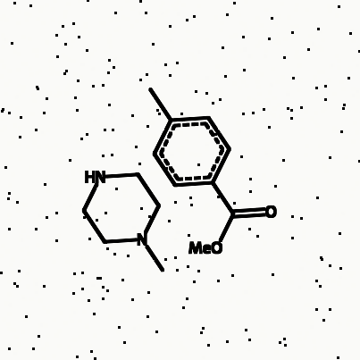 CN1CCNCC1.COC(=O)c1ccc(C)cc1